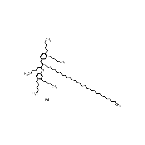 CCCCCCCCCCCCCCCCCCCCCCCCCCCCCCC(=Nc1ccc(CCCCC)c(CCCCC)c1)C(CCCCC)=Nc1ccc(CCCCC)c(CCCCC)c1.[Pd]